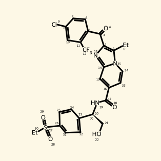 CCc1c(C(=O)c2ccc(Cl)cc2C(F)(F)F)nc2cc(C(=O)N[C@@H](CO)c3ccc(S(=O)(=O)CC)cc3)ccn12